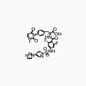 Cn1ccc(=O)n(-c2ccc(C[C@H](NC(=O)c3c(F)cc(NS(=O)(=O)c4ccc(-n5ccnn5)cn4)cc3F)C(=O)O)cc2)c1=O